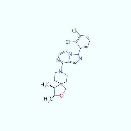 C[C@@H]1OCC2(CCN(c3nccn4c(-c5cccc(Cl)c5Cl)ncc34)CC2)[C@@H]1C